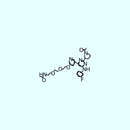 CC(=O)NCCOCCOCCOc1cncc(-c2cc(Nc3cccc(F)c3)nc(C3CCCN(C(C)=O)C3)n2)c1